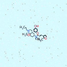 C=CCN1CC[C@@]2(c3cccc(O)c3)C[C@@H](N(C)C(=O)/C=C/c3ccoc3C)CC[C@]2(OC)C1